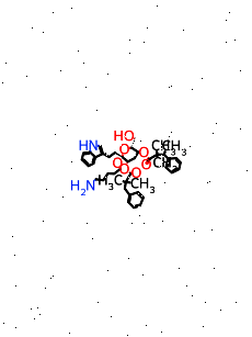 CC(c1ccccc1)C(C)(C)C(=O)O[C@H]1C[C@@H](OC(=O)C(C)(C)Cc2ccccc2)[C@](CCc2c[nH]c3ccccc23)(OCCCCCN)O[C@@H]1CO